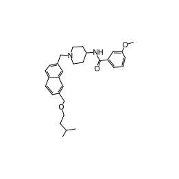 COc1cccc(C(=O)NC2CCN(Cc3ccc4ccc(COCCC(C)C)cc4c3)CC2)c1